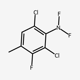 Cc1cc(Cl)c(N(F)F)c(Cl)c1F